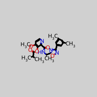 COc1ccnc(C(=O)N[C@@H](C)c2nc(-c3cc(C)cc(C)c3)no2)c1OC(=O)C(C)C